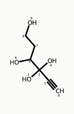 C#CC(O)(O)C(O)CCO